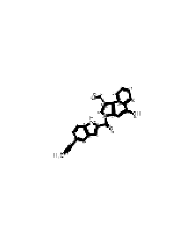 CC#Cc1ccc2[nH]c(C(=O)N3C[C@@H](CCl)c4c3cc(O)c3ccccc43)cc2c1